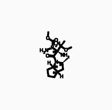 COC(=O)N(N)[C@](N)(C(=O)N1[C@H](C)C[C@@H]2CCC[C@@H]21)[C@](C)(N)OC